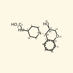 O=C(O)NC1CCN([C@H]2c3ccccc3OC[C@@H]2O)CC1